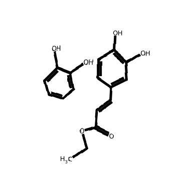 CCOC(=O)C=Cc1ccc(O)c(O)c1.Oc1ccccc1O